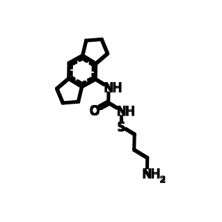 NCCCSNC(=O)Nc1c2c(cc3c1CCC3)CCC2